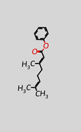 CC(C)=CCC/C(C)=C/C(=O)Oc1ccccc1